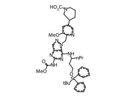 CCCC(CCO[Si](c1ccccc1)(c1ccccc1)C(C)(C)C)Nc1nc(NC(=O)OC)nc2cnn(Cc3ncc(C4CCCN(C(=O)O)C4)cc3OC)c12